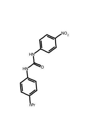 CCCc1ccc(NC(=O)Nc2ccc([N+](=O)[O-])cc2)cc1